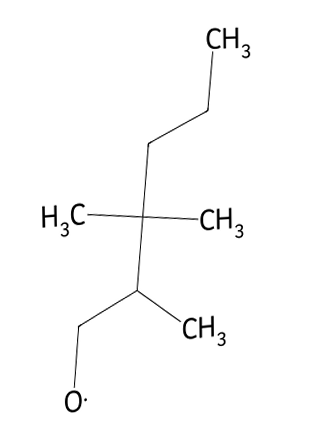 CCCC(C)(C)C(C)C[O]